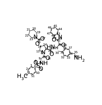 Cc1ccc(S(=O)(=O)NCC(=O)N2C[C@H](OC(=O)N3CCCCC3)C[C@H]2C(=O)N[C@@H](Cc2ccc(CN)cc2)C(=O)c2nc3ccccc3o2)cc1